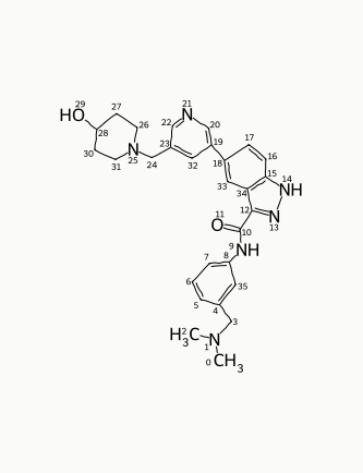 CN(C)Cc1cccc(NC(=O)c2n[nH]c3ccc(-c4cncc(CN5CCC(O)CC5)c4)cc23)c1